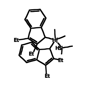 CCC1=C(CC)[CH]([Hf]([CH3])([CH3])([CH]2C(CC)=C(CC)c3ccccc32)[SiH](C)C)c2ccccc21